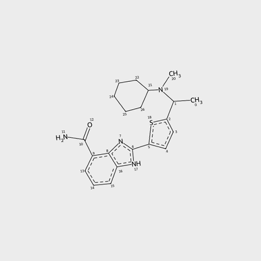 CC(c1ccc(-c2nc3c(C(N)=O)cccc3[nH]2)s1)N(C)C1CCCCC1